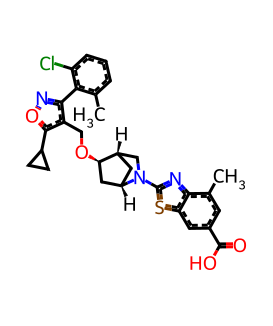 Cc1cccc(Cl)c1-c1noc(C2CC2)c1CO[C@@H]1C[C@@H]2C[C@H]1CN2c1nc2c(C)cc(C(=O)O)cc2s1